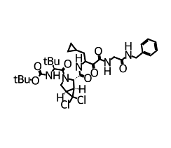 CC(C)(C)OC(=O)N[C@H](C(=O)N1C[C@H]2[C@@H]([C@H]1C(=O)NC(CC1CC1)C(=O)C(=O)NCC(=O)NCc1ccccc1)C2(Cl)Cl)C(C)(C)C